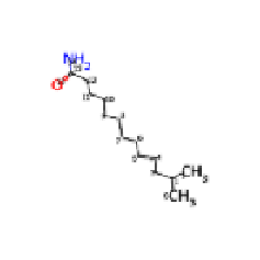 CC(C)CC=CCCCCCCCC(N)=O